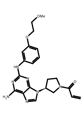 C=CC(=O)N1CC[C@H](n2cnc3c(N)nc(Nc4cccc(OCCOC)c4)nc32)C1